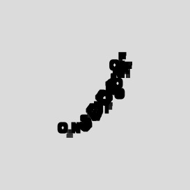 O=C(NCC1CN(c2ccc(N3CCN(c4ccc([N+](=O)[O-])s4)CC3)c(F)c2)C(=O)O1)C(F)F